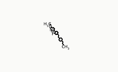 CCCCC1CCC(CCc2ccc(-c3ccc(OCC)nn3)c(F)c2)CC1